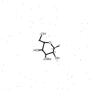 COC1C(O)C(CO)O[C@@H](C)C1O